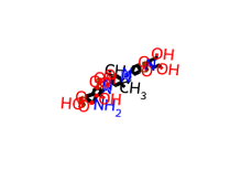 COc1cc(/N=N/c2ccc(S(=O)(=O)N(CCO)CCO)cc2)c(C)cc1/N=N/c1c(S(=O)(=O)O)cc2cc(S(=O)(=O)O)cc(N)c2c1O